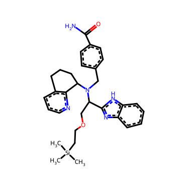 C[Si](C)(C)CCOCC(c1nc2ccccc2[nH]1)N(Cc1ccc(C(N)=O)cc1)C1CCCc2cccnc21